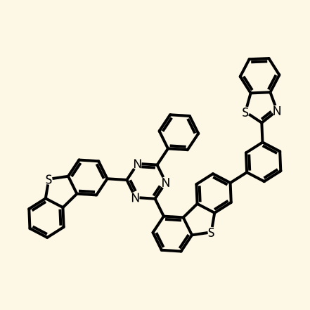 c1ccc(-c2nc(-c3ccc4sc5ccccc5c4c3)nc(-c3cccc4sc5cc(-c6cccc(-c7nc8ccccc8s7)c6)ccc5c34)n2)cc1